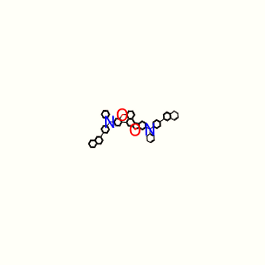 C1=CCCC(N(c2ccc(-c3ccc4c(c3)C=CCC4)cc2)c2ccc3c(c2)oc2cc4c5c(cccc5c23)Oc2cc(N(c3ccccc3)c3ccc(-c5ccc6ccccc6c5)cc3)ccc2-4)=C1